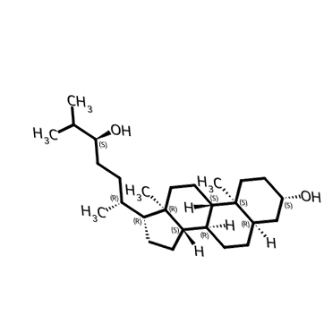 CC(C)[C@@H](O)CC[C@@H](C)[C@H]1CC[C@H]2[C@@H]3CC[C@@H]4C[C@@H](O)CC[C@]4(C)[C@H]3CC[C@]12C